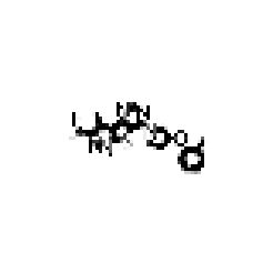 Cc1ccccc1O[C@H]1CCN(c2ncnc3c2sc2nnc(C(F)F)c(C)c23)C1